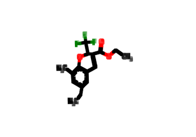 CCOC(=O)C1=Cc2cc(CC)cc(C)c2OC1C(F)(F)F